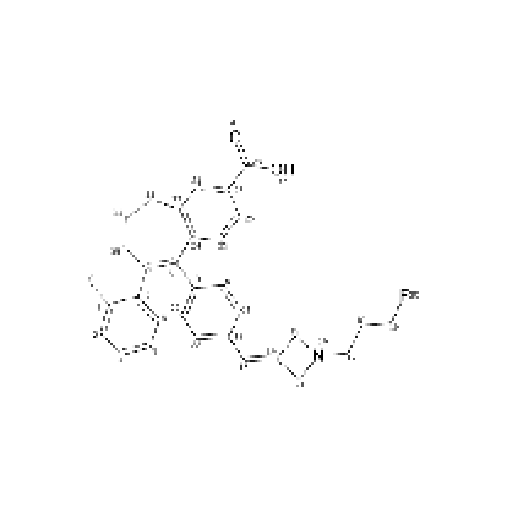 Cc1ccccc1C1=C(c2ccc(C=C3CN(CCCF)C3)cc2)c2ccc(C(=O)O)cc2CCC1